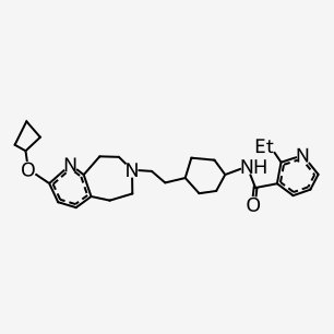 CCc1ncccc1C(=O)NC1CCC(CCN2CCc3ccc(OC4CCC4)nc3CC2)CC1